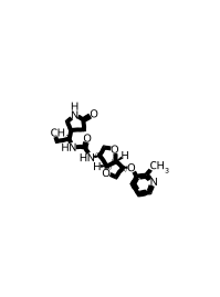 CCC(NC(=O)N[C@H]1CO[C@H]2[C@@H]1OC[C@@H]2Oc1cccnc1C)C1CNC(=O)C1